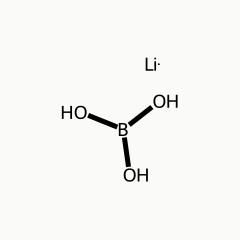 OB(O)O.[Li]